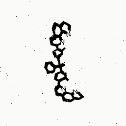 Cc1cc(C(C)(c2ccccc2)c2ccc(-c3ccc4ccc5cccnc5c4n3)c(C)c2)ccc1-c1ccc2ccc3cccnc3c2n1